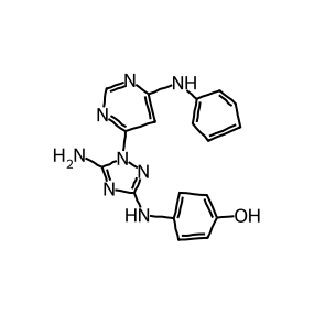 Nc1nc(Nc2ccc(O)cc2)nn1-c1cc(Nc2ccccc2)ncn1